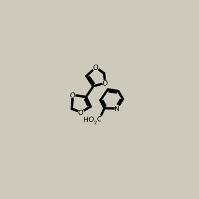 C1=C(C2=COCO2)OCO1.O=C(O)c1ccccn1